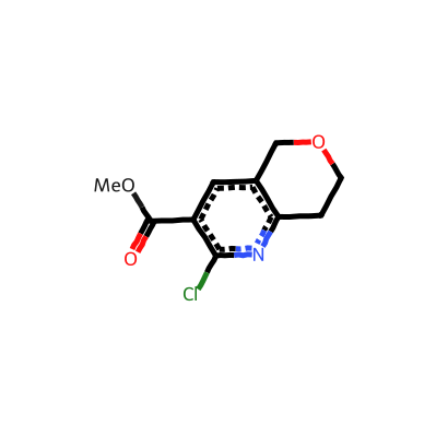 COC(=O)c1cc2c(nc1Cl)CCOC2